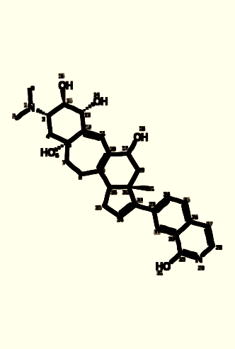 CN(C)[C@H]1C[C@]2(O)CCC3=C(C=C2[C@@H](O)[C@@H]1O)C(O)C[C@]1(C)C(c2ccc4ccnc(O)c4c2)=CCC31